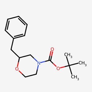 CC(C)(C)OC(=O)N1CCOC(Cc2ccccc2)C1